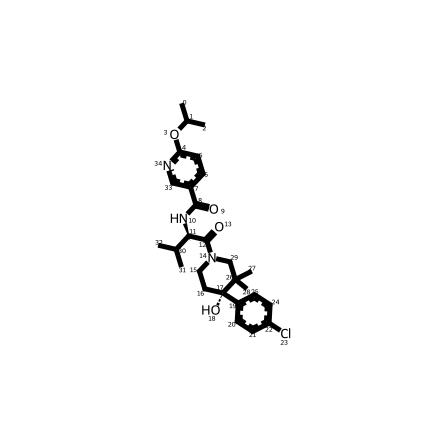 CC(C)Oc1ccc(C(=O)N[C@@H](C(=O)N2CC[C@](O)(c3ccc(Cl)cc3)C(C)(C)C2)C(C)C)cn1